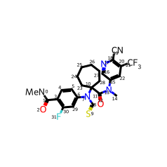 CNC(=O)c1ccc(N(C=S)C2(C(=O)N(C)c3cnc(C#N)c(C(F)(F)F)c3)CCCCCC2)cc1F